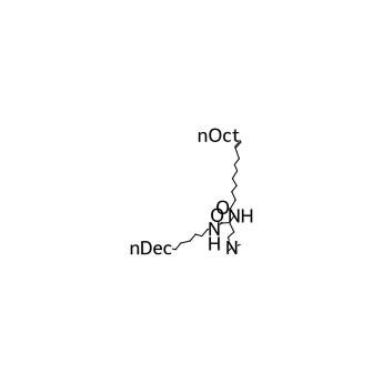 CCCCCCCC/C=C/CCCCCCCC(=O)NC(CCN(C)C)C(=O)NCCCCCCCCCCCCCCCC